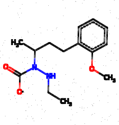 CCNN(C([O])=O)C(C)CCc1ccccc1OC